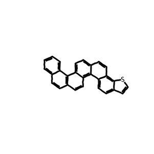 c1ccc2c(c1)ccc1ccc3c(ccc4ccc5c(ccc6ccsc65)c43)c12